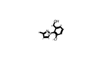 Cc1ccn(-c2c(Cl)cccc2CO)n1